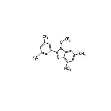 Cc1cc([N+](=O)[O-])c2nc(-c3cc(C(F)(F)F)cc(C(F)(F)F)c3)n(OC(F)(F)F)c2c1